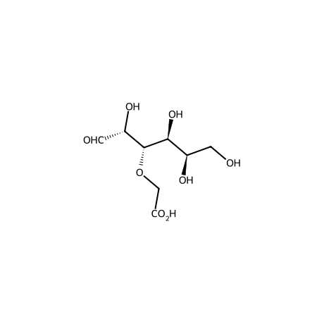 O=C[C@H](O)[C@@H](OCC(=O)O)[C@@H](O)[C@H](O)CO